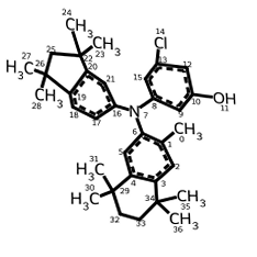 Cc1cc2c(cc1N(c1cc(O)cc(Cl)c1)c1ccc3c(c1)C(C)(C)CC3(C)C)C(C)(C)CCC2(C)C